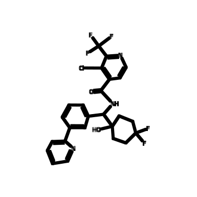 O=C(NC(c1cccc(-c2ccccn2)c1)C1(O)CCC(F)(F)CC1)c1ccnc(C(F)(F)F)c1Cl